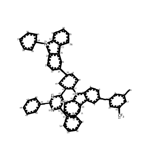 Cc1cc(-c2ccc3c(c2)c2ccccc2n3-c2ccc(-c3ccc4c(c3)c3ccccc3n4-c3ccccc3)cc2-c2nc(-c3ccccc3)nc(-c3ccccc3)n2)cc(C(F)(F)F)c1